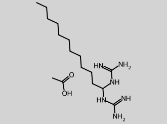 CC(=O)O.CCCCCCCCCCCC(NC(=N)N)NC(=N)N